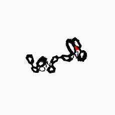 c1ccc(-c2ccccc2-n2c3ccccc3c3cc(-c4ccc5c(c4)c4ccccc4n5-c4cccc5c4oc4cccc(-c6ccccc6)c45)ccc32)cc1